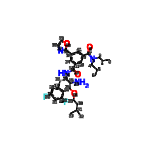 CCCN(CCC)C(=O)c1cc(C(=O)N[C@@H](Cc2cc(F)cc(F)c2)C(N)COCCC(C)C)cc(-c2ncco2)c1